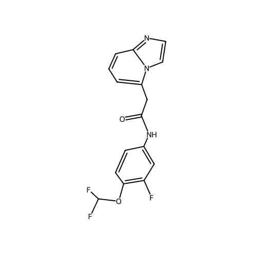 O=C(Cc1cccc2nccn12)Nc1ccc(OC(F)F)c(F)c1